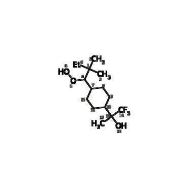 CCC(C)(C)C(OO)C1CCC(C(C)(O)C(F)(F)F)CC1